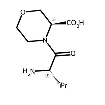 CC(C)[C@H](N)C(=O)N1CCOC[C@H]1C(=O)O